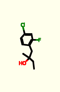 CCC(C)(O)Cc1ccc(Cl)cc1F